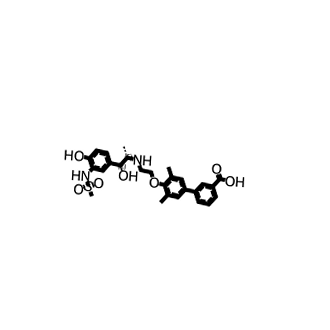 Cc1cc(-c2cccc(C(=O)O)c2)cc(C)c1OCCN[C@@H](C)[C@H](O)c1ccc(O)c(NS(C)(=O)=O)c1